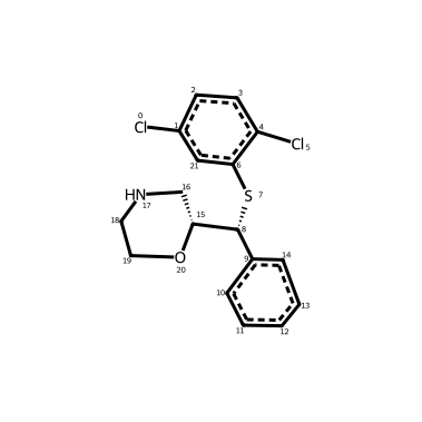 Clc1ccc(Cl)c(S[C@H](c2ccccc2)[C@H]2CNCCO2)c1